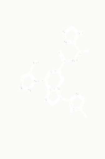 Cc1cnc(-c2cnc3c(-n4nncc4C(C)(C)C)cc(C(=O)N[C@@H](C)c4nnc[nH]4)cn23)s1